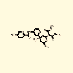 C=C1C[C@@](C)(c2cc(NC(=O)c3ccc(C#N)cn3)ccn2)N=C(N(C(=O)OC(C)(C)C)C(=O)OC(C)(C)C)S1